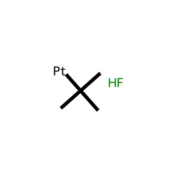 C[C](C)(C)[Pt].F